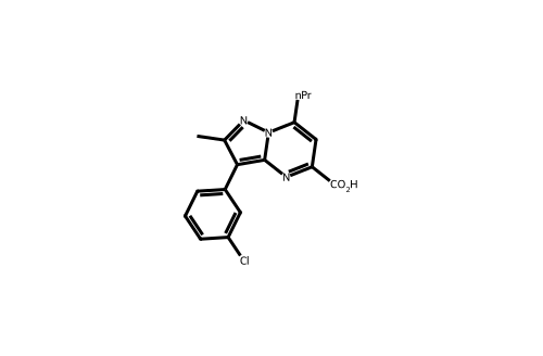 CCCc1cc(C(=O)O)nc2c(-c3cccc(Cl)c3)c(C)nn12